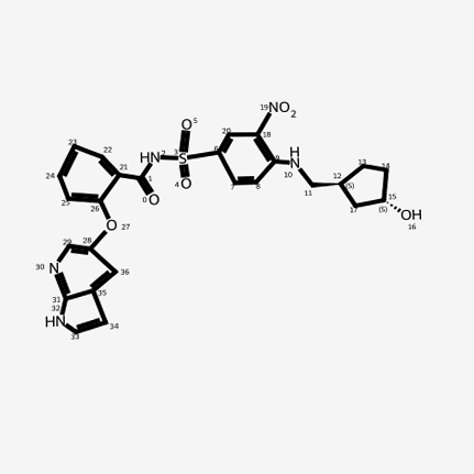 O=C(NS(=O)(=O)c1ccc(NC[C@H]2CC[C@H](O)C2)c([N+](=O)[O-])c1)c1ccccc1Oc1cnc2[nH]ccc2c1